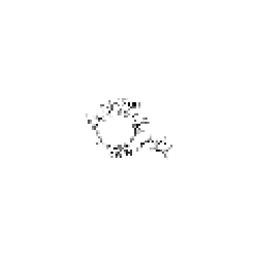 C/C(=C\c1csc(C)n1)[C@@H]1C[C@@H]2O[C@]2(C)CCC[C@H](C)C(O)C(C)C(=O)C(C)(C)[C@@H](O)CC(=O)N1